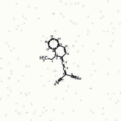 CCN1C(=C=C=C(C#N)C#N)C=Cc2ccccc21